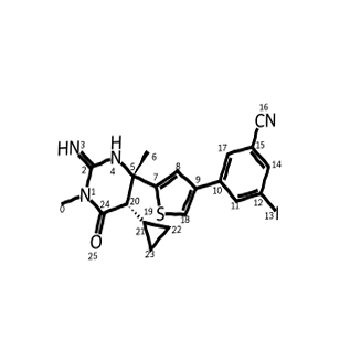 CN1C(=N)N[C@](C)(c2cc(-c3cc(I)cc(C#N)c3)cs2)[C@H](C2CC2)C1=O